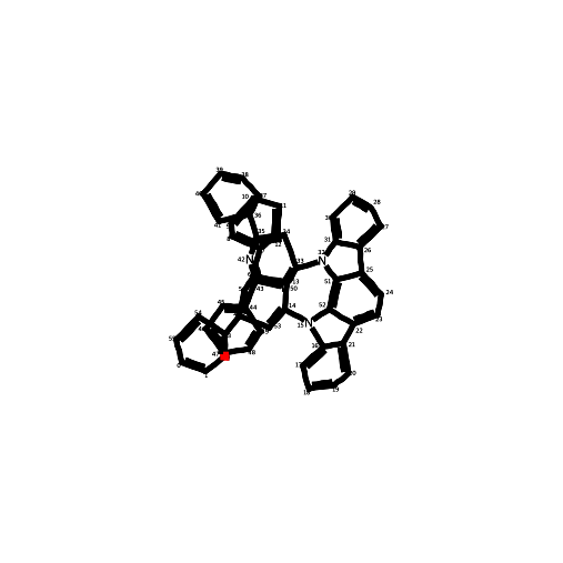 c1ccc(-c2cc(-c3ccccc3)cc(-n3c4ccccc4c4ccc5c6ccccc6n(-c6cc(-c7ccccc7)nc(-c7ccccc7)n6)c5c43)c2)cc1